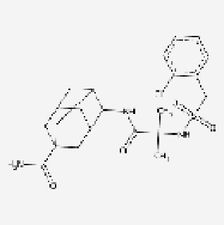 CC(C)(NS(=O)(=O)Cc1ccccc1Cl)C(=O)NC1C2CC3CC1CC(C(N)=O)(C3)C2